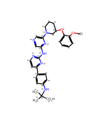 CCOc1ccccc1O[C@@H]1CCCN(c2cncc(Nc3nccc(-c4ccc(NC(C)(C)C(=O)O)cc4)n3)n2)C1